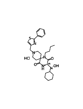 CCCCN1C(=O)[C@@H]([C@H](O)C2CCCCC2)NC(=O)C12CCN(Cc1csc(-c3ccccc3)n1)CC2.Cl